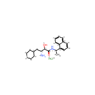 C[C@@H](NC(=O)C(O)[C@H](N)CC1CCCCC1)c1cccc2ccccc12.Cl